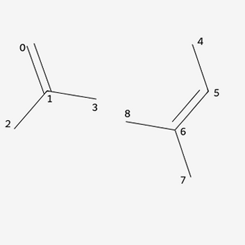 C=C(C)C.CC=C(C)C